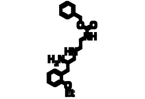 CCOc1ccccc1CC(N)CNCCNC(=O)OCc1ccccc1